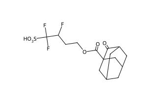 O=C(OCCC(F)C(F)(F)S(=O)(=O)O)C12CC3CC(CC(C3)C1=O)C2